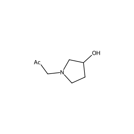 CC(=O)CN1CCC(O)C1